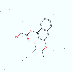 CCOc1cc2ccccc2c(OC(=O)CO)c1OCC